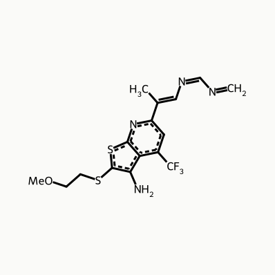 C=N/C=N\C=C(/C)c1cc(C(F)(F)F)c2c(N)c(SCCOC)sc2n1